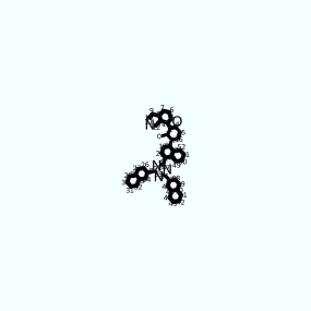 CC1c2c(oc3ccc4ccncc4c23)C=CC1c1ccc(-c2nc(-c3ccc4ccccc4c3)nc(-c3ccc4ccccc4c3)n2)c2ccccc12